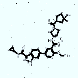 [2H]COc1ncc(-c2ccc3c(C(=O)NC4CC4)n[nH]c3c2)cc1C(=O)N[C@@H]1CN(C(=O)C2CCC(F)(F)C2)C[C@@H]1F